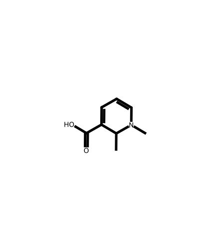 CC1C(C(=O)O)=CC=CN1C